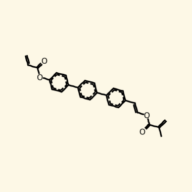 C=CC(=O)Oc1ccc(-c2ccc(-c3ccc(/C=C/OC(=O)C(=C)C)cc3)cc2)cc1